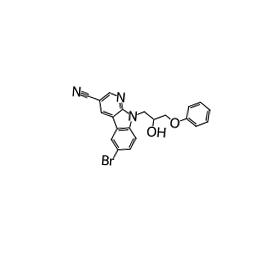 N#Cc1cnc2c(c1)c1cc(Br)ccc1n2CC(O)COc1ccccc1